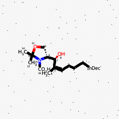 CCCCCCCCCCCCC/C=C(/C)[C@H](O)[C@H]1COC(C)(C)N1C(=O)O